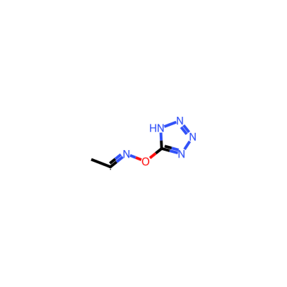 C[C]=NOc1nnn[nH]1